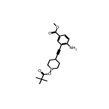 COC(=O)c1ccc(N)c(C#CC2CCN(OC(=O)C(C)(C)C)CC2)c1